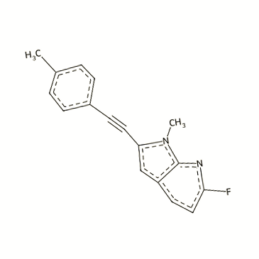 Cc1ccc(C#Cc2cc3ccc(F)nc3n2C)cc1